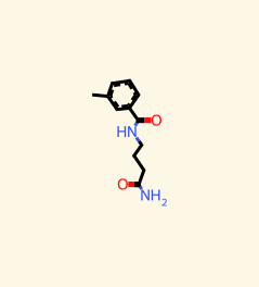 Cc1cccc(C(=O)NCCCC(N)=O)c1